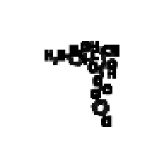 CC(O[C@H](COC(=O)Oc1ccc(Cl)cc1)[C@@H](O)CC#N)n1ccc(N)nc1=O